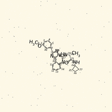 COc1cccc(-c2nc3c4ccccc4nc(N[C@H](C)C(=O)NC4CCC4)n3n2)c1